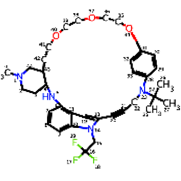 CN1CCC2Nc3cccc4c3cc(n4CC(F)(F)F)C#CCN(C(C)(C)C)c3ccc(cc3)OCCOCCOCCC2C1